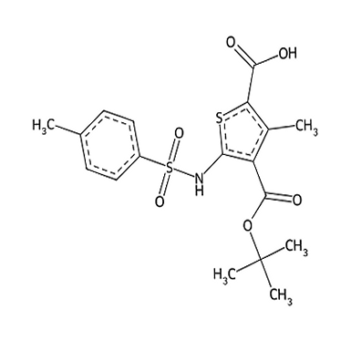 Cc1ccc(S(=O)(=O)Nc2sc(C(=O)O)c(C)c2C(=O)OC(C)(C)C)cc1